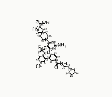 Nc1nc(O[C@H](c2ccc(Cl)cc2-c2cccc(C(=O)NCCN3CCCC3)c2)C(F)(F)F)cc(N2CCC3(CC2)CNC(C(=O)O)C3)n1